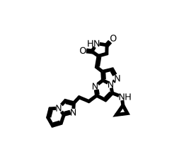 O=C1C/C(=C\c2cnn3c(NC4CC4)cc(CCc4cn5ccccc5n4)nc23)C(=O)N1